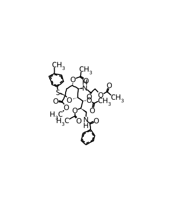 COC(=O)[C@]1(Sc2ccc(C)cc2)C[C@H](OC(C)=O)[C@@H](NC(=O)COC(C)=O)[C@H]([C@H](OC(C)=O)[C@@H](CNC(=O)c2ccccc2)OC(C)=O)O1